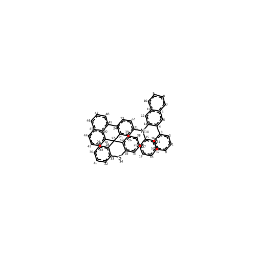 c1ccc(-c2cc3ccccc3cc2N(c2ccccc2)c2ccc3c(c2)C2(c4ccccc4Sc4ccccc42)c2cccc4cccc-3c24)cc1